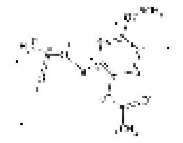 COc1ccc(OC(C)=O)c(COC(C)=O)c1